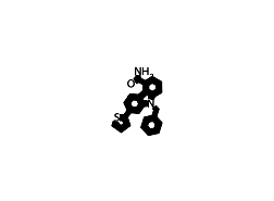 NC(=O)c1cccc2c1c1[c]cc(-c3cccs3)cc1n2Cc1ccccc1